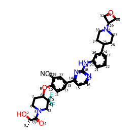 C[C@H](O)C(=O)N1CCC(Oc2ccc(-c3ccnc(Nc4cccc(C5CCN(C6COC6)CC5)c4)n3)cc2C#N)C(F)(F)C1